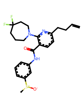 C=CCCc1ccc(C(=O)Nc2cccc([S@+](C)[O-])c2)c(N2CCCC(F)(F)CC2)n1